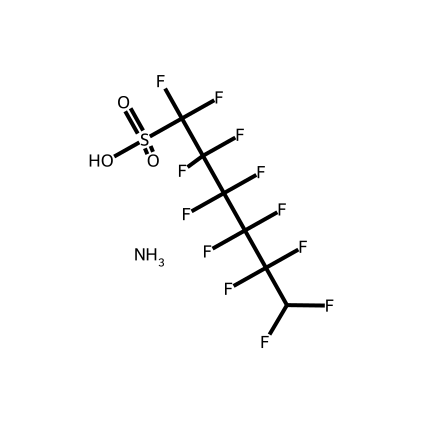 N.O=S(=O)(O)C(F)(F)C(F)(F)C(F)(F)C(F)(F)C(F)(F)C(F)F